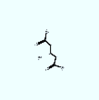 O=C(O)CCCC(=O)O.[RbH]